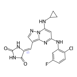 O=C1NC(=O)/C(=C/c2cnn3c(NC4CC4)cc(Nc4cc(F)ccc4Cl)nc23)N1